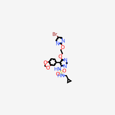 O=S(=O)(NCC1CC1)Nc1ncnc(OCCOc2ncc(Br)cn2)c1-c1ccc2c(c1)OCO2